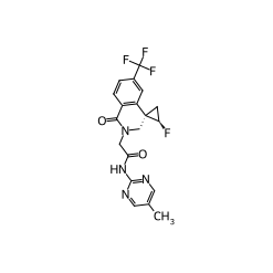 Cc1cnc(NC(=O)CN2C[C@@]3(C[C@H]3F)c3cc(C(F)(F)F)ccc3C2=O)nc1